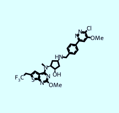 COc1nc(N(C)[C@H]2C[C@@H](NCc3ccc(-c4cc(OC)c(Cl)nn4)cc3)C[C@H]2O)c2cc(CC(F)(F)F)sc2n1